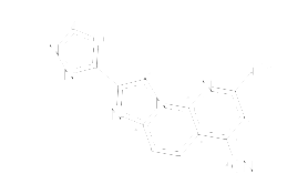 CC(C)c1cc(C#N)c2ccc3nc(-c4nnco4)cn3c2n1